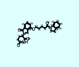 O=C1CCC(N2Cc3c(OCCCCC(=O)N4CCc5ccccc54)cccc3C2=O)C(=O)N1